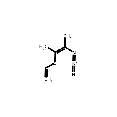 C=CS/C(C)=C(/C)N=[N+]=[N-]